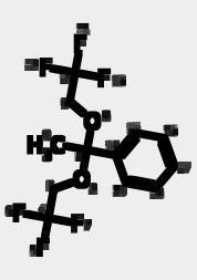 CC(OCC(F)(F)F)(OCC(F)(F)F)c1ccccc1